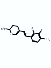 CCCC1CCC(/C=C/c2ccc(C)c(F)c2F)=CO1